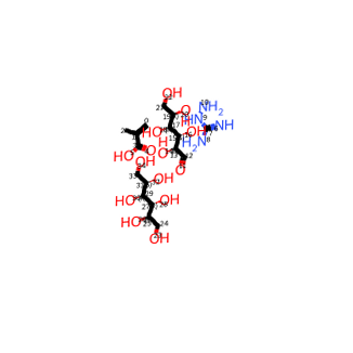 C=C(C)C(=O)O.N=C(N)NN.O=C[C@H](O)[C@@H](O)[C@H](O)[C@H](O)CO.OC[C@@H](O)[C@@H](O)[C@H](O)[C@@H](O)CO